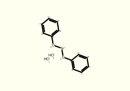 Cl.Cl.c1ccc(O[Si]Oc2ccccc2)cc1